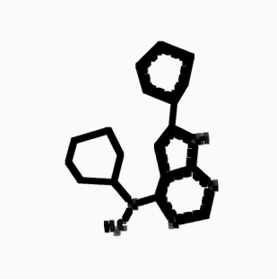 CN(c1ncnc2[nH]c(-c3ccccc3)cc12)C1CCCCC1